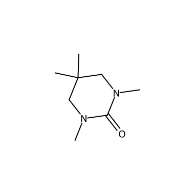 CN1CC(C)(C)CN(C)C1=O